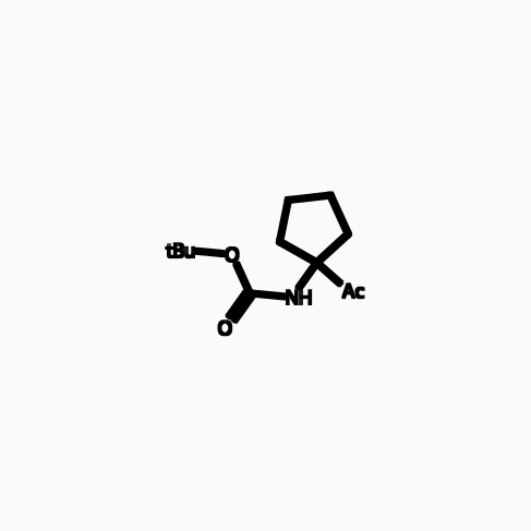 CC(=O)C1(NC(=O)OC(C)(C)C)CCCC1